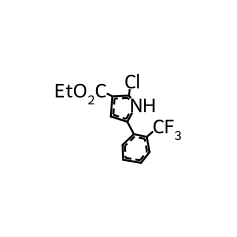 CCOC(=O)c1cc(-c2ccccc2C(F)(F)F)[nH]c1Cl